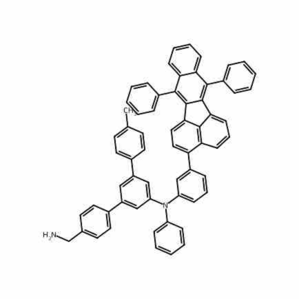 Cc1ccc(-c2cc(-c3ccc(CN)cc3)cc(N(c3ccccc3)c3cccc(-c4ccc5c6c(cccc46)-c4c-5c(-c5ccccc5)c5ccccc5c4-c4ccccc4)c3)c2)cc1